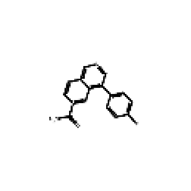 NC(=O)c1ccc2cncc(-c3ccc(F)cc3)c2c1